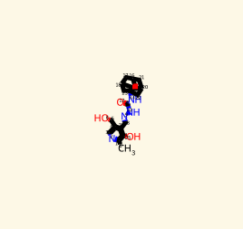 Cc1ncc(CO)c(/C=N/NC(=O)NC23CC4CC(CC(C4)C2)C3)c1O